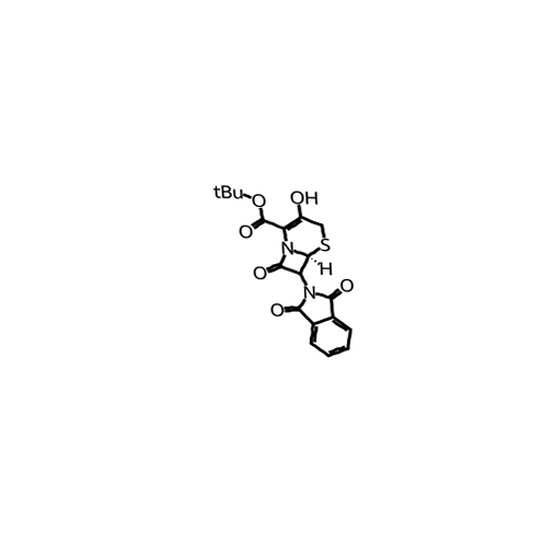 CC(C)(C)OC(=O)C1=C(O)CS[C@H]2C(N3C(=O)c4ccccc4C3=O)C(=O)N12